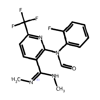 C/N=C(/NC)c1ccc(C(F)(F)F)nc1N(C=O)c1ccccc1F